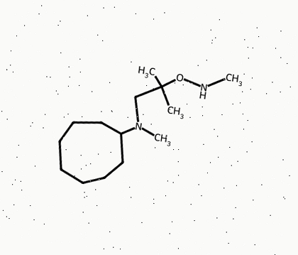 CNOC(C)(C)CN(C)C1CCCCCCC1